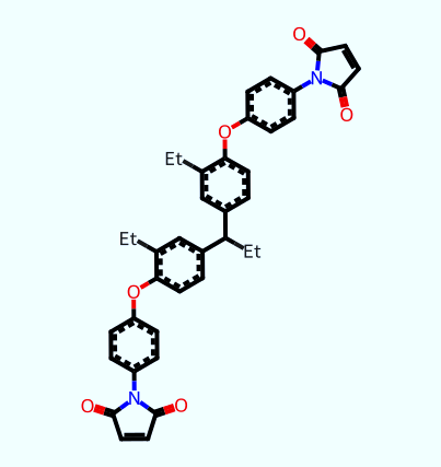 CCc1cc(C(CC)c2ccc(Oc3ccc(N4C(=O)C=CC4=O)cc3)c(CC)c2)ccc1Oc1ccc(N2C(=O)C=CC2=O)cc1